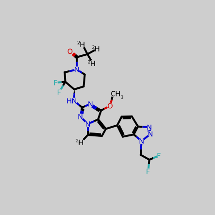 [2H]c1cc(-c2ccc3nnn(CC(F)F)c3c2)c2c(OC)nc(N[C@@H]3CCN(C(=O)C([2H])([2H])[2H])CC3(F)F)nn12